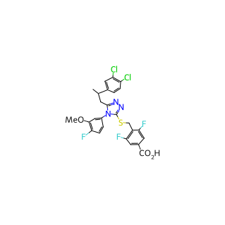 COc1cc(-n2c(CC(C)c3ccc(Cl)c(Cl)c3)nnc2SCc2c(F)cc(C(=O)O)cc2F)ccc1F